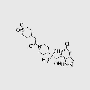 CC(C)(C1CCN(C(=O)CC2CCS(=O)(=O)CC2)CC1)C(O)c1cc(Cl)cc2cn[nH]c12